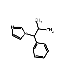 CC(C)C(c1cc[c]cc1)n1ccnc1